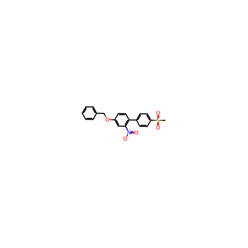 CS(=O)(=O)c1ccc(-c2ccc(OCc3ccccc3)cc2[N+](=O)[O-])cc1